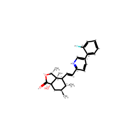 C[C@H]1C[C@@]2(O)C(=O)O[C@H](C)[C@H]2C(/C=C/c2ccc(-c3ccccc3F)cn2)[C@@H]1C